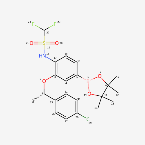 C[C@H](Oc1cc(B2OC(C)(C)C(C)(C)O2)ccc1NS(=O)(=O)C(F)F)c1ccc(Cl)cc1